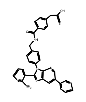 Nc1ncccc1-c1nc2cc(-c3cccnc3)cnc2n1-c1ccc(CNC(=O)c2ccc(CC(=O)O)cc2)cc1